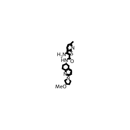 CO[C@@H]1CCN(c2ccc3c(n2)CC[C@H](NC(=O)c2sc4nc(C)ccc4c2N)C3)C1